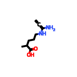 C=C=C(N)NCCCC(C)C(=O)O